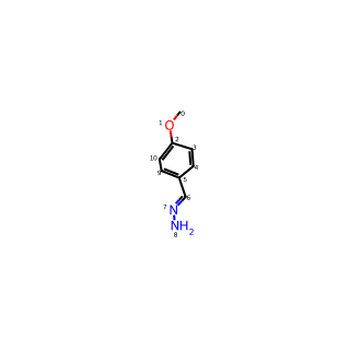 COc1ccc(/C=N/N)cc1